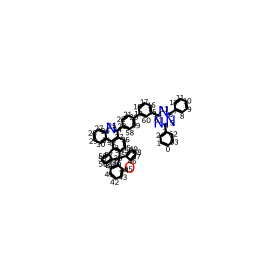 c1ccc(-c2nc(-c3ccccc3)nc(-c3cccc(-c4ccc(-c5nc6ccccc6c6c7c(ccc56)C5(c6ccccc6Oc6ccccc65)c5ccccc5-7)cc4)c3)n2)cc1